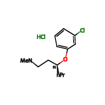 CCC[C@@H](CCNC)Oc1cccc(Cl)c1.Cl